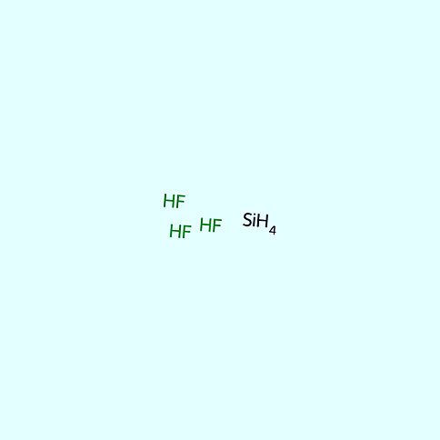 F.F.F.[SiH4]